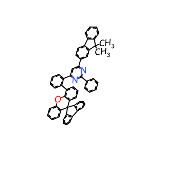 CC1(C)c2ccccc2-c2ccc(-c3cc(-c4ccccc4-c4cccc5c4Oc4ccccc4C54c5ccccc5-c5ccccc54)nc(-c4ccccc4)n3)cc21